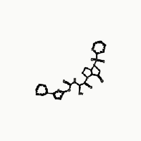 CCCC(NC(=O)Oc1ccc(-c2ccccc2)s1)C(=O)N1CCC2C1C(=O)CN2S(=O)(=O)c1ccccn1